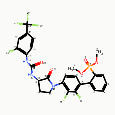 COP(=O)(OC)c1ccccc1-c1ccc(N2CC[C@@H](NC(=O)Nc3ccc(C(F)(F)F)cc3F)C2=O)c(F)c1F